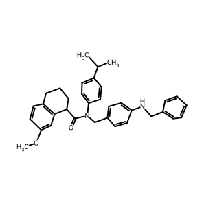 COc1ccc2c(c1)C(C(=O)N(Cc1ccc(NCc3ccccc3)cc1)c1ccc(C(C)C)cc1)CCC2